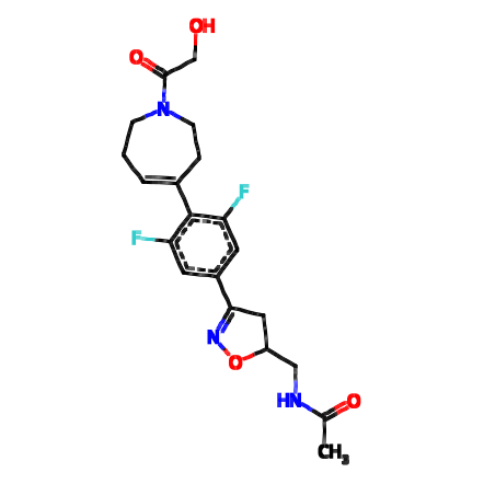 CC(=O)NCC1CC(c2cc(F)c(C3=CCCN(C(=O)CO)CC3)c(F)c2)=NO1